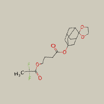 CC(F)(F)C(=O)OCCCC(=O)OC12CC3CC(C1)C1(OCCO1)C(C3)C2